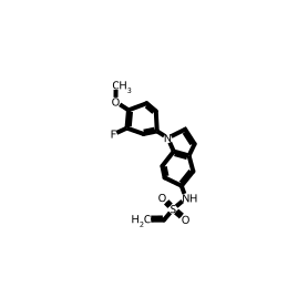 C=CS(=O)(=O)Nc1ccc2c(ccn2-c2ccc(OC)c(F)c2)c1